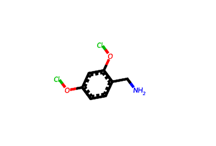 NCc1ccc(OCl)cc1OCl